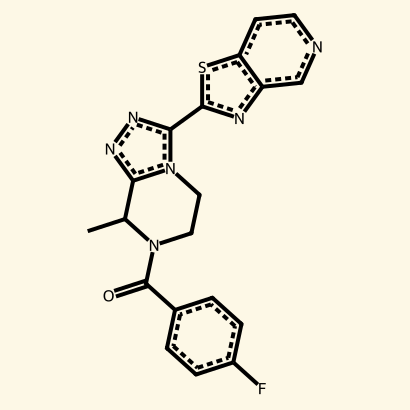 CC1c2nnc(-c3nc4cnccc4s3)n2CCN1C(=O)c1ccc(F)cc1